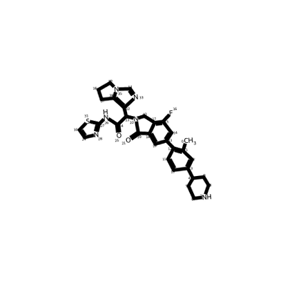 Cc1cc(C2CCNCC2)ccc1-c1cc(F)c2c(c1)C(=O)N(C(C(=O)Nc1nccs1)c1ncn3c1CCC3)C2